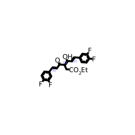 CCOC(=O)C/C(C(=O)/C=C/c1ccc(F)c(F)c1)=C(O)\C=C\c1ccc(F)c(F)c1